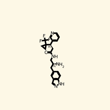 N[C@H](CNC(=O)C[C@H](c1cccnc1)C1(C(F)(F)F)CC1)Cc1ccc2[nH]ncc2c1